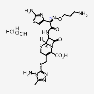 Cc1nnc(SCC2=C(C(=O)O)N3C(=O)C(NC(=O)/C(=N\OCCCN)c4csc(N)n4)[C@H]3SC2)n1N.Cl.Cl.Cl